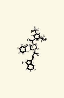 O=C(C=Cc1c[nH]c2ccccc12)N1CCN(C(=O)c2cc(C(F)(F)F)cc(C(F)(F)F)c2)[C@H](Cc2ccccc2)C1